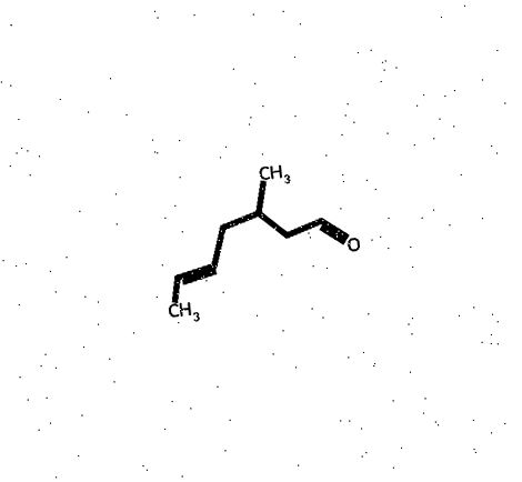 CC=CCC(C)CC=O